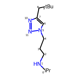 CC(C)NCCCn1cc(CC(C)(C)C)nn1